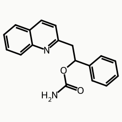 NC(=O)OC(Cc1ccc2ccccc2n1)c1ccccc1